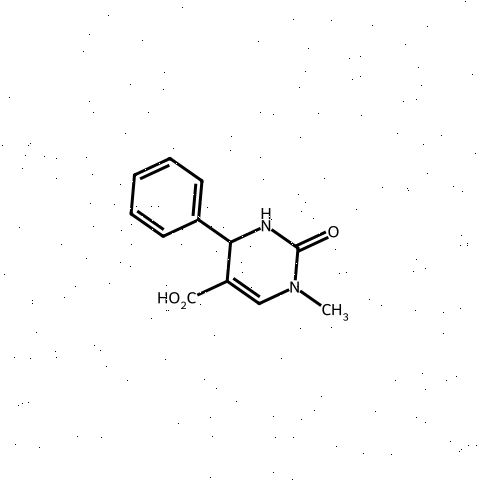 CN1C=C(C(=O)O)C(c2ccccc2)NC1=O